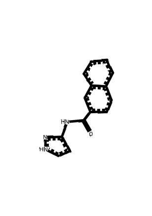 O=C(Nc1cc[nH]n1)c1ccc2ccccc2c1